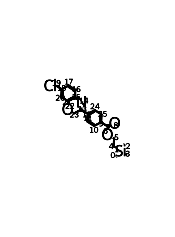 C[Si](C)(C)CCOC(=O)c1ccc(C2=Nc3ccc(Cl)cc3OC2)cc1